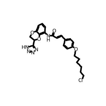 O=C(/C=C/c1ccc(OCCCCCCCl)cc1)Nc1cccc2c1OC(c1nnn[nH]1)CO2